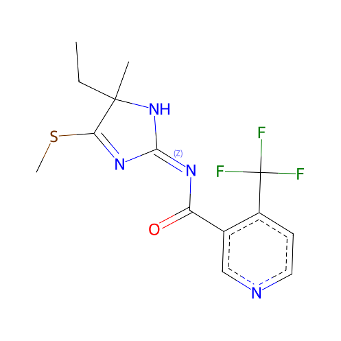 CCC1(C)N/C(=N/C(=O)c2cnccc2C(F)(F)F)N=C1SC